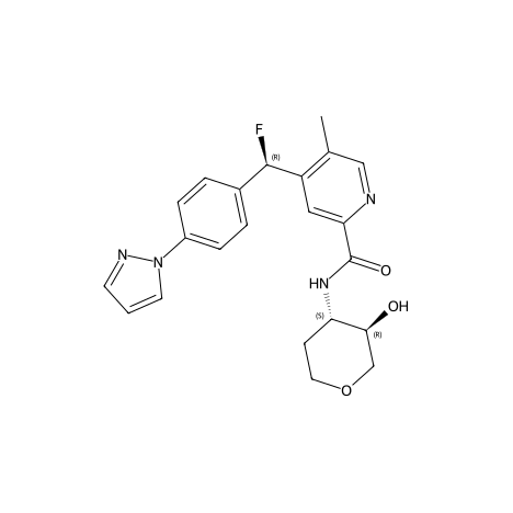 Cc1cnc(C(=O)N[C@H]2CCOC[C@@H]2O)cc1[C@H](F)c1ccc(-n2cccn2)cc1